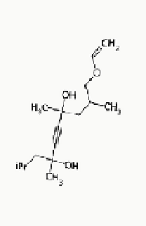 C=COCC(C)CC(C)(O)C#CC(C)(O)CC(C)C